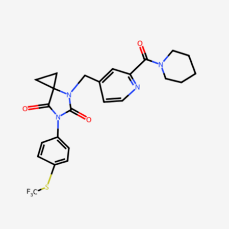 O=C(c1cc(CN2C(=O)N(c3ccc(SC(F)(F)F)cc3)C(=O)C23CC3)ccn1)N1CCCCC1